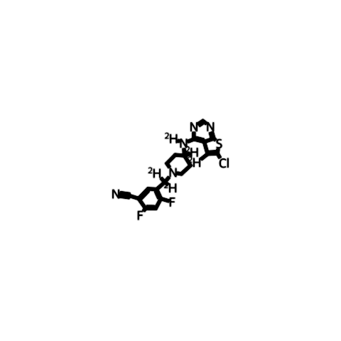 [2H]c1c(Cl)sc2ncnc(N([2H])C3([2H])CCN(C([2H])([2H])c4cc(C#N)c(F)cc4F)CC3)c12